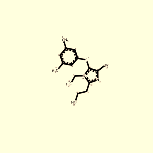 Cc1cc(C)cc(Sc2c(C(C)C)nc(CCO)n2CC(F)(F)F)c1